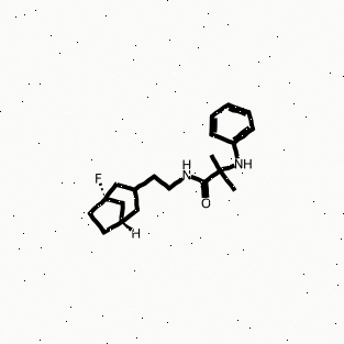 CC(C)(Nc1ccccc1)C(=O)NCCC1C[C@@H]2CC[C@@](F)(C1)C2